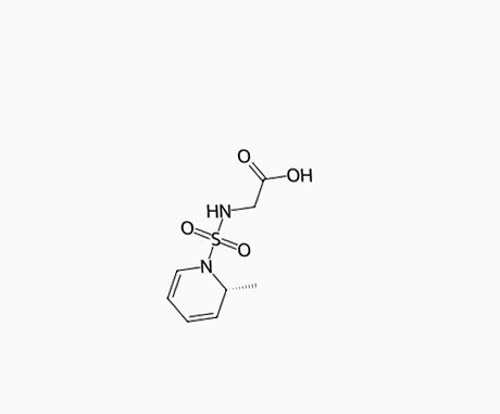 C[C@@H]1C=CC=CN1S(=O)(=O)NCC(=O)O